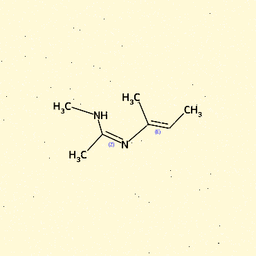 C/C=C(C)/N=C(/C)NC